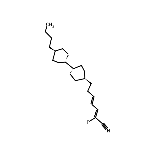 CCCC[C@H]1CC[C@H]([C@H]2CC[C@H](CCC=CC=C(F)C#N)CC2)CC1